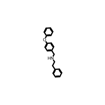 c1ccc(CCNCc2ccc(Oc3ccccc3)cc2)cc1